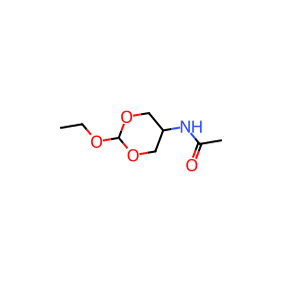 CCOC1OCC(NC(C)=O)CO1